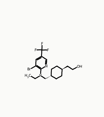 CCN(C[C@H]1CC[C@H](CCO)CC1)c1ncc(C(F)(F)F)cc1Br